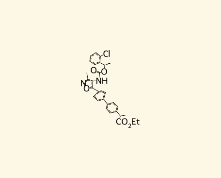 CCOC(=O)C(C)c1ccc(-c2ccc(-c3onc(C)c3NC(=O)O[C@H](C)c3ccccc3Cl)cc2)cc1